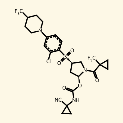 N#CC1(NC(=O)O[C@H]2C[C@@H](S(=O)(=O)c3ccc(N4CCC(C(F)(F)F)CC4)cc3Cl)CN2C(=O)C2(C(F)(F)F)CC2)CC1